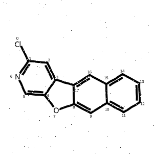 Clc1cc2c(cn1)oc1cc3ccccc3cc12